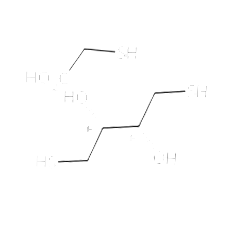 O=C(O)CS.O[C@@H](CS)[C@@H](O)CS